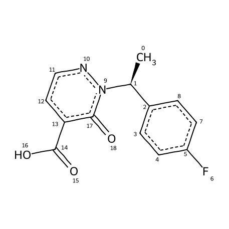 C[C@@H](c1ccc(F)cc1)n1nccc(C(=O)O)c1=O